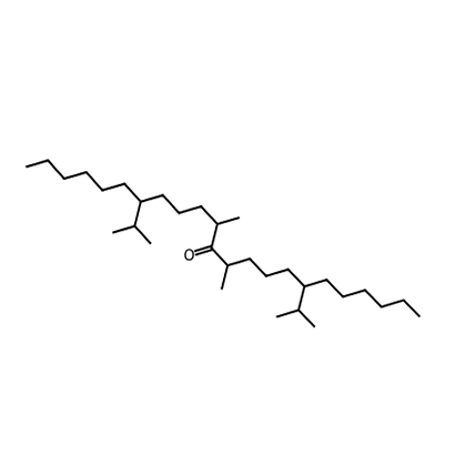 CCCCCCC(CCCC(C)C(=O)C(C)CCCC(CCCCCC)C(C)C)C(C)C